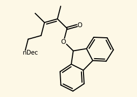 CCCCCCCCCCCCC(C)=C(C)C(=O)OC1c2ccccc2-c2ccccc21